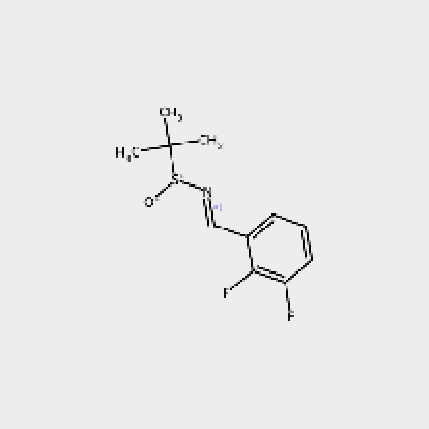 CC(C)(C)[S+]([O-])/N=C/c1cccc(F)c1F